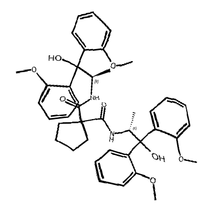 COc1ccccc1C(O)(c1ccccc1OC)[C@@H](C)NC(=O)C1(C(=O)N[C@H](C)C(O)(c2ccccc2OC)c2ccccc2OC)CCCC1